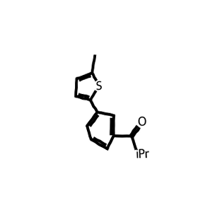 Cc1ccc(-c2cccc(C(=O)C(C)C)c2)s1